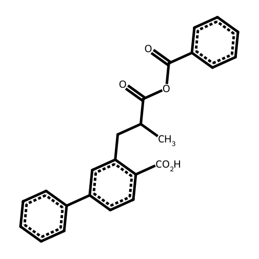 CC(Cc1cc(-c2ccccc2)ccc1C(=O)O)C(=O)OC(=O)c1ccccc1